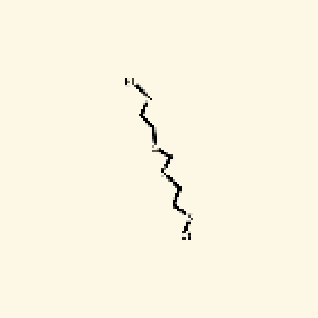 CCSCCS[CH]SCCSCC